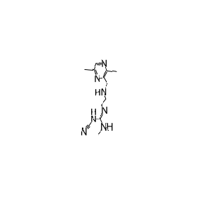 CN/C(=N/CCNCc1nc(C)cnc1C)NC#N